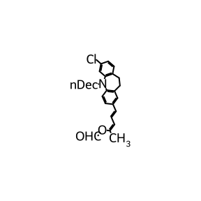 CCCCCCCCCCN1c2ccc(/C=C/C=C(/C)OC=O)cc2CCc2ccc(Cl)cc21